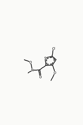 COc1cc(Cl)sc1C(=O)N(C)OC